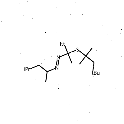 CCC(C)(N=NC(C)CC(C)C)SC(C)(C)CC(C)(C)C